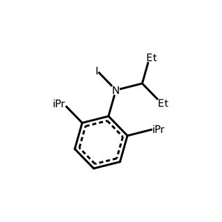 CCC(CC)N(I)c1c(C(C)C)cccc1C(C)C